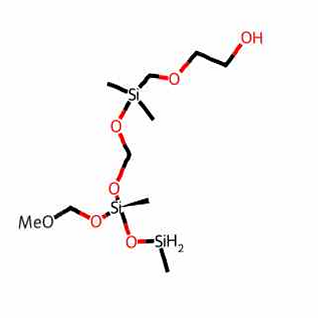 COCO[Si@](C)(OCO[Si](C)(C)COCCO)O[SiH2]C